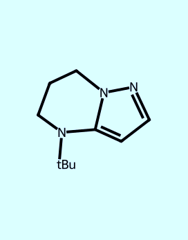 CC(C)(C)N1CCCn2nccc21